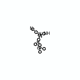 C1=CC(c2nc(-c3ccc(-c4ccncc4)cc3)cc(-c3ccc(-n4c5ccccc5c5c6oc(-c7ccccc7)c(-c7ccccc7)c6ccc54)cc3)n2)=CCN1